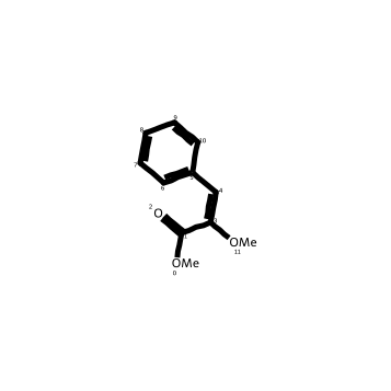 COC(=O)C(=Cc1ccccc1)OC